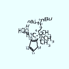 CCCCN(CCCC)C[CH2][Ti]([CH3])([CH3])([CH3])([CH3])[C]1=CC=CC1.Cl.Cl